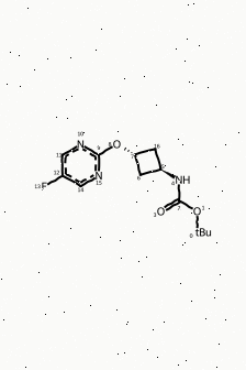 CC(C)(C)OC(=O)N[C@H]1C[C@H](Oc2ncc(F)cn2)C1